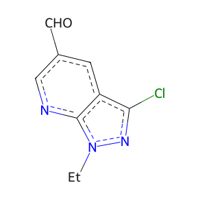 CCn1nc(Cl)c2cc(C=O)cnc21